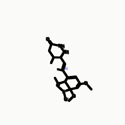 COC1=CC(OC)([S+](C)[O-])C(OC)C(/C(C)=C/C2NNC(=O)CC2C)=C1